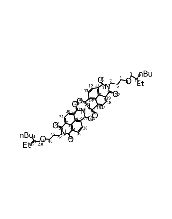 CCCCC(CC)COCCCN1C(=O)c2ccc3c4c(ccc(c24)C1=O)C(=O)N(N1C(=O)c2ccc4c5c(ccc(c25)C1=O)C(=O)N(CCCOCC(CC)CCCC)C4=O)C3=O